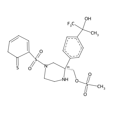 CC(O)(c1ccc([C@]2(COS(C)(=O)=O)CN(S(=O)(=O)C3=CC=CCC3=S)CCN2)cc1)C(F)(F)F